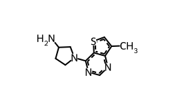 Cc1csc2c(N3CCC(N)C3)ncnc12